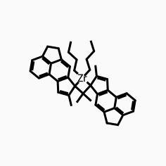 CCC[CH2][Zr]1([CH2]CCC)[C]2(C(C)=Cc3c2cc2c4c(cccc34)CC2)C(C)(C)[C]12C(C)=Cc1c2cc2c3c(cccc13)CC2